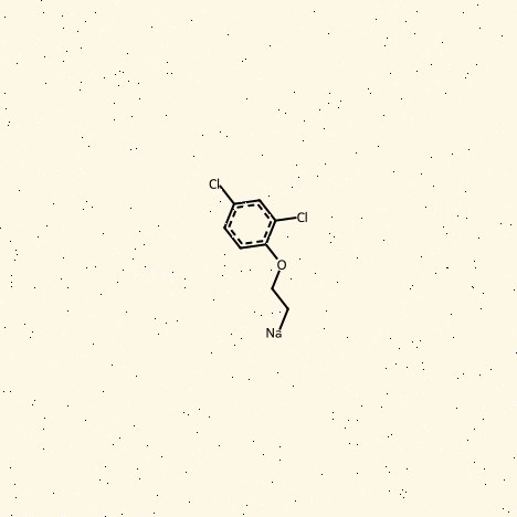 [Na][CH2]COc1ccc(Cl)cc1Cl